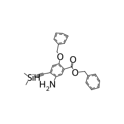 C[SiH](C)C#Cc1cc(OCc2ccccc2)c(C(=O)OCc2ccccc2)cc1N